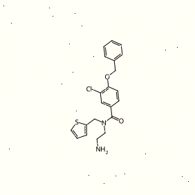 NCCN(Cc1cccs1)C(=O)c1ccc(OCc2ccccc2)c(Cl)c1